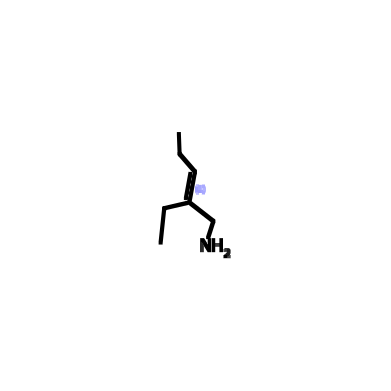 CC/C=C(\CC)CN